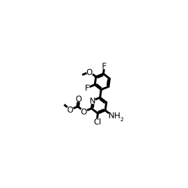 COC(=O)Oc1nc(-c2ccc(F)c(OC)c2F)cc(N)c1Cl